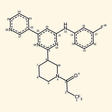 O=C(CC(F)(F)F)N1CCCC(c2nc(Nc3cccc(F)c3)cc(-c3cccnc3)n2)C1